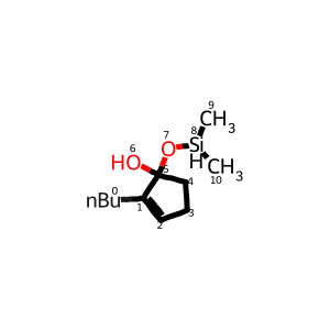 CCCCC1=CCCC1(O)O[SiH](C)C